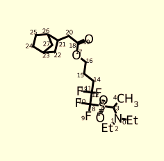 CCN(CC)C(C)S(=O)(=O)C(F)(F)C(F)(F)CCCOC(=O)CC1CC2CCC1C2